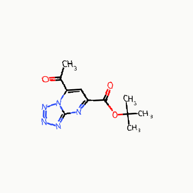 CC(=O)c1cc(C(=O)OC(C)(C)C)nc2nnnn12